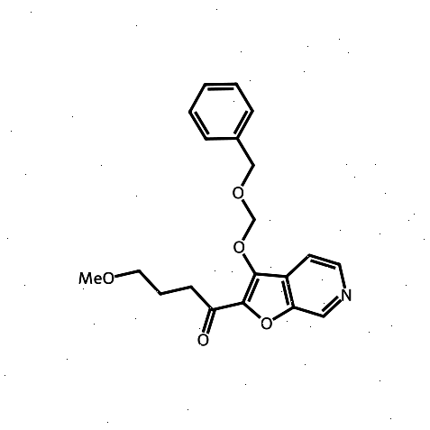 COCCCC(=O)c1oc2cnccc2c1OCOCc1ccccc1